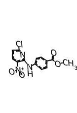 COC(=O)c1ccc(Nc2nc(Cl)ccc2[N+](=O)[O-])cc1